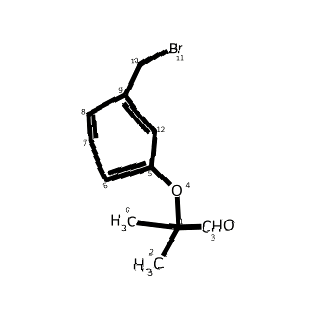 CC(C)(C=O)Oc1cccc(CBr)c1